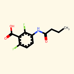 CCCC(=O)Nc1ccc(F)c(C(=O)O)c1F